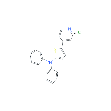 Clc1cc(-c2ccc(N(c3ccccc3)c3ccccc3)s2)ccn1